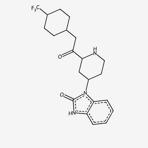 O=C(CC1CCC(C(F)(F)F)CC1)C1CC(n2c(=O)[nH]c3ccccc32)CCN1